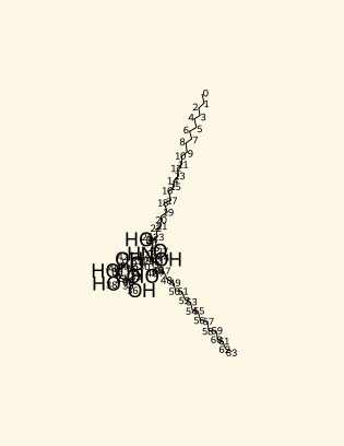 CCCCCCCCCCCCCCCCCCCCCCCC[C@@H](O)C(=O)N[C@@H](CO[C@H]1O[C@H](CO)[C@@H](O)[C@H](O)[C@H]1O)[C@H](O)[C@H](O)CCCCCCCCCCCCCCCCC